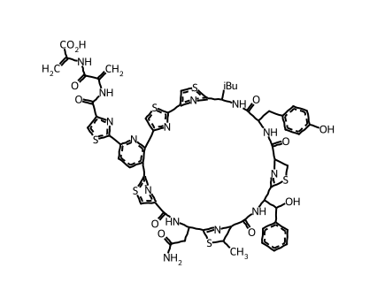 C=C(NC(=O)C(=C)NC(=O)c1csc(-c2ccc3c(n2)-c2csc(n2)-c2csc(n2)C(C(C)CC)NC(=O)C(Cc2ccc(O)cc2)NC(=O)C2CSC(=N2)C(C(O)c2ccccc2)NC(=O)C2N=C(SC2C)C(CC(N)=O)NC(=O)c2csc-3n2)n1)C(=O)O